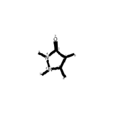 CC1C(=O)N(C)N(C)C1C